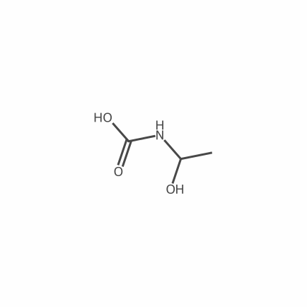 CC(O)NC(=O)O